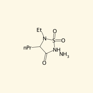 CCCC1C(=O)NS(=O)(=O)N1CC.N